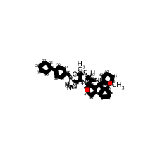 COc1ccccc1C(NC1C(=O)N2C(c3nnnn3Cc3ccc(-c4ccccc4)cc3)C(C)(C)S[C@H]12)(c1ccccc1)c1ccccc1